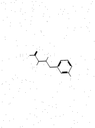 NC(=O)C(O)C(N)Cc1cccc(Cl)c1